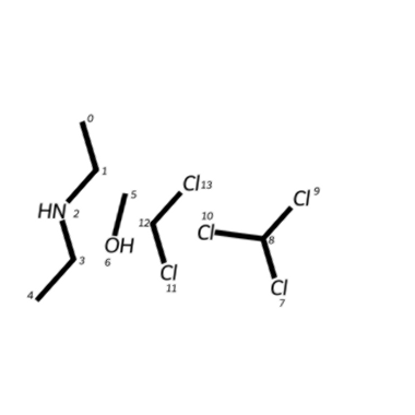 CCNCC.CO.ClC(Cl)Cl.ClCCl